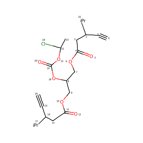 C#CC(CC(=O)OCC(COC(=O)CC(C#C)C(C)C)OC(=O)OC(C)Cl)C(C)C